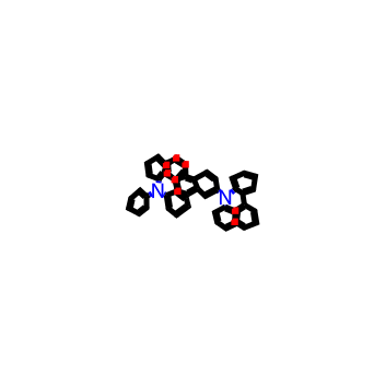 c1ccc(-c2ccccc2N(c2ccccc2)c2ccc3c(ccc4c3ccc3cccc(N(c5ccccc5)c5ccccc5-c5ccccc5)c34)c2)cc1